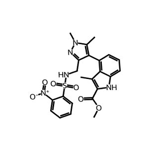 COC(=O)c1[nH]c2cccc(-c3c(CNS(=O)(=O)c4ccccc4[N+](=O)[O-])nn(C)c3C)c2c1C